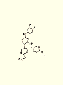 COc1ccc(CNc2nc(Nc3ccc(F)c(Cl)c3)ncc2-c2cnc(OC)nc2)cn1